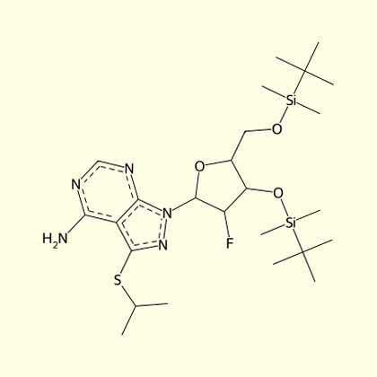 CC(C)Sc1nn(C2OC(CO[Si](C)(C)C(C)(C)C)C(O[Si](C)(C)C(C)(C)C)C2F)c2ncnc(N)c12